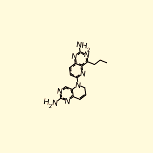 CCCc1nc(N)nc2ccc(N3CC=Cc4nc(N)ncc43)nc12